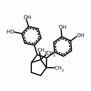 CC1(C)C2CCC1(C)C(c1ccc(O)c(O)c1)C2c1ccc(O)c(O)c1